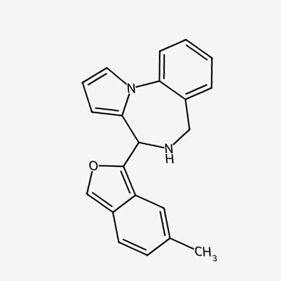 Cc1ccc2coc(C3NCc4ccccc4-n4cccc43)c2c1